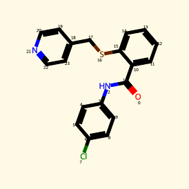 O=C(Nc1ccc(Cl)cc1)c1ccccc1SCc1ccncc1